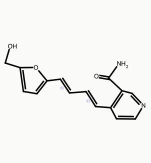 NC(=O)c1cnccc1/C=C/C=C/c1ccc(CO)o1